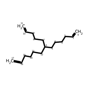 C=CCCCCC(CCCC=C)CCCCC=C